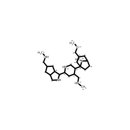 CNCC1CC2CNC(C3CC(CNC)C(C45CCC(CC(COC)C4)N5C)CN3)C2C1